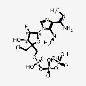 C=Nc1c(/C(N)=N\C)ncn1[C@@H]1O[C@](CCl)(COP(=O)(O)OP(=O)(O)OP(=O)(O)O)[C@@H](O)[C@H]1F